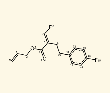 C=CCOC(=O)/C(=C/F)CCc1ccc(F)cc1